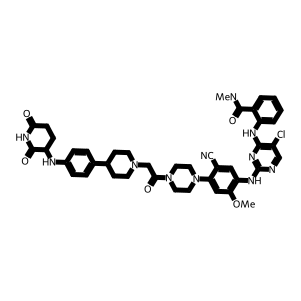 CNC(=O)c1ccccc1Nc1nc(Nc2cc(C#N)c(N3CCN(C(=O)CN4CCC(c5ccc(NC6CCC(=O)NC6=O)cc5)CC4)CC3)cc2OC)ncc1Cl